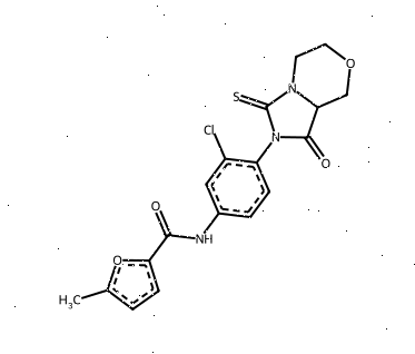 Cc1ccc(C(=O)Nc2ccc(N3C(=O)C4COCCN4C3=S)c(Cl)c2)o1